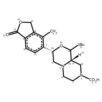 Cc1c([C@H]2CN3CCN(C(=O)O)C[C@H]3C(C(C)(C)C)O2)ccc2c1COC2=O